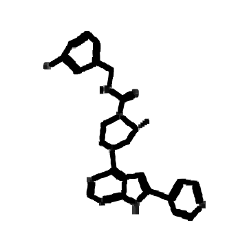 C[C@@H]1CN(c2ncnc3[nH]c(-c4ccncc4)cc23)CCN1C(=O)NCc1cccc(Cl)c1